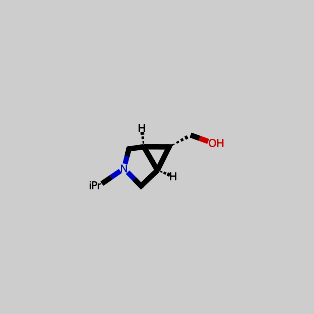 CC(C)N1C[C@@H]2[C@@H](CO)[C@@H]2C1